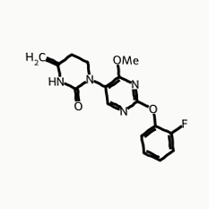 C=C1CCN(c2cnc(Oc3ccccc3F)nc2OC)C(=O)N1